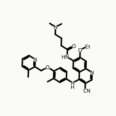 CCOc1cc2ncc(C#N)c(Nc3ccc(OCc4ncccc4C)c(C)c3)c2cc1NC(=O)CCCN(C)C